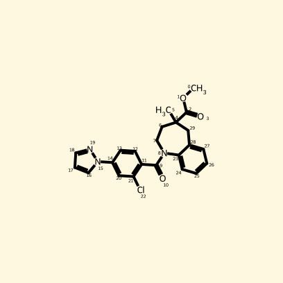 COC(=O)C1(C)CCN(C(=O)c2ccc(-n3cccn3)cc2Cl)c2ccccc2C1